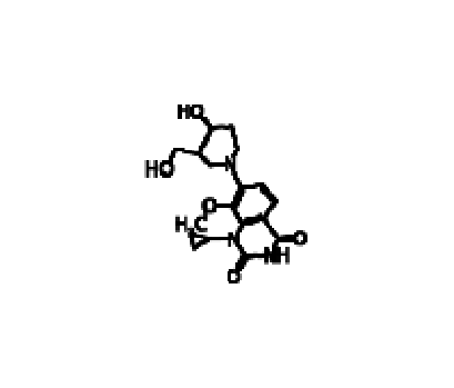 COc1c(N2CCC(O)C(CO)C2)ccc2c(=O)[nH]c(=O)n(C3CC3)c12